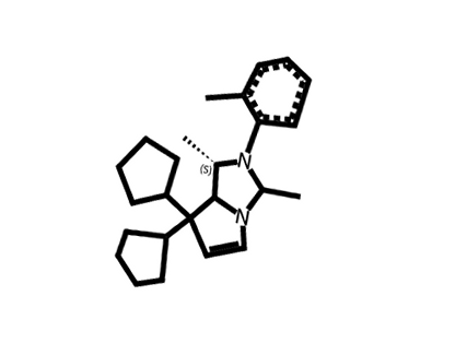 Cc1ccccc1N1C(C)N2C=CC(C3CCCC3)(C3CCCC3)C2[C@@H]1C